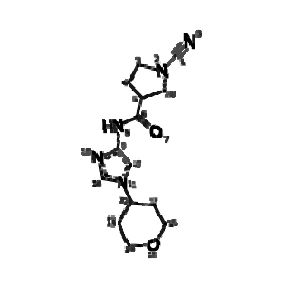 N#CN1CCC(C(=O)Nc2cn(C3CCOCC3)cn2)C1